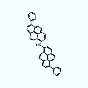 c1ccc(-c2ccc3ccc4c(Nc5ccc6ccc7c(-c8ccccc8)ccc8ccc5c6c87)ccc5ccc2c3c54)cc1